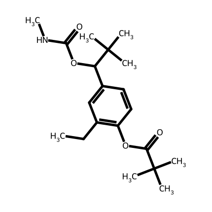 CCc1cc(C(OC(=O)NC)C(C)(C)C)ccc1OC(=O)C(C)(C)C